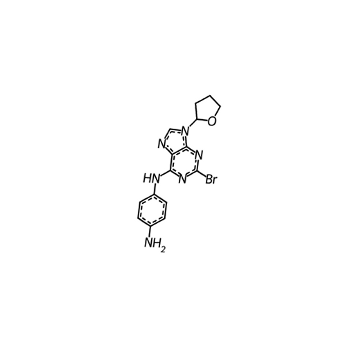 Nc1ccc(Nc2nc(Br)nc3c2ncn3C2CCCO2)cc1